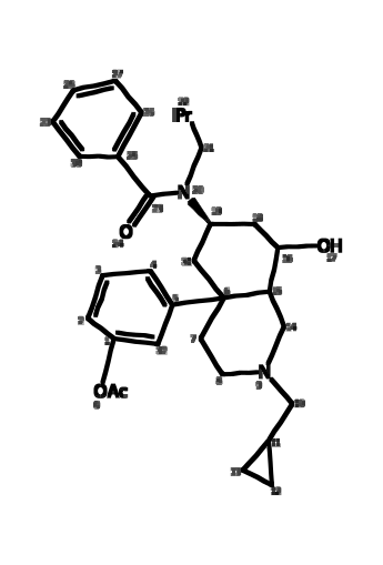 CC(=O)Oc1cccc(C23CCN(CC4CC4)CC2C(O)C[C@H](N(CC(C)C)C(=O)c2ccccc2)C3)c1